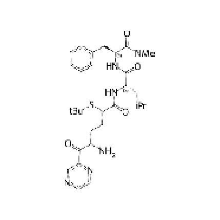 CNC(=O)[C@H](Cc1ccccc1)NC(=O)[C@H](CC(C)C)NC(=O)C(CCC(N)C(=O)c1cnccn1)SC(C)(C)C